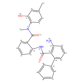 Cc1ccc(N(C)C(=O)c2ccccc2NC(=O)c2c(N)cccc2-c2ccccc2)c(O)c1